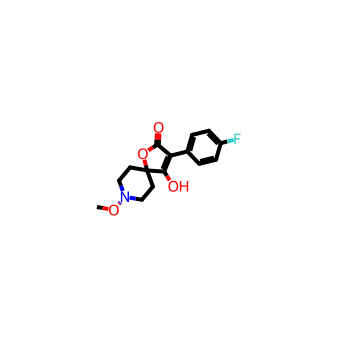 CON1CCC2(CC1)OC(=O)C(c1ccc(F)cc1)=C2O